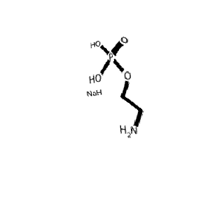 NCCOP(=O)(O)O.[NaH]